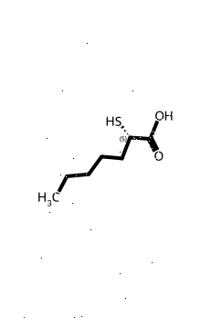 CCCCC[C@H](S)C(=O)O